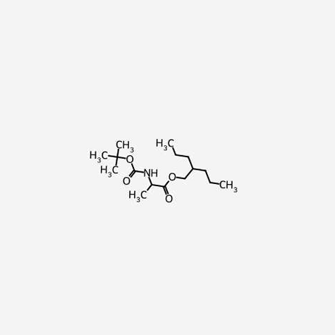 CCCC(CCC)COC(=O)C(C)NC(=O)OC(C)(C)C